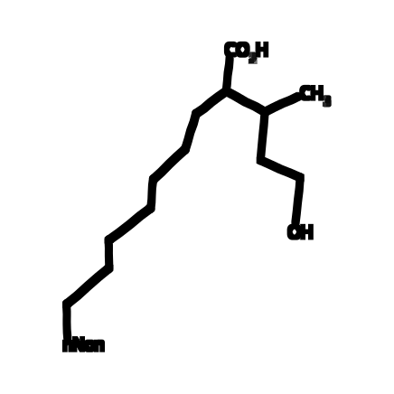 CCCCCCCCCCCCCCCCC(C(=O)O)C(C)CCO